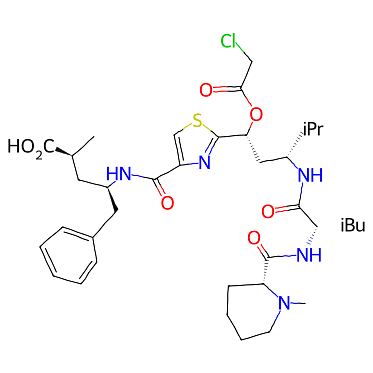 CC[C@H](C)[C@H](NC(=O)[C@H]1CCCCN1C)C(=O)N[C@H](C[C@@H](OC(=O)CCl)c1nc(C(=O)N[C@@H](Cc2ccccc2)C[C@H](C)C(=O)O)cs1)C(C)C